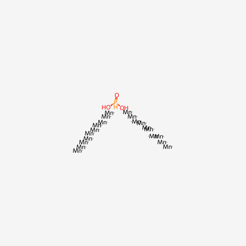 O=[PH](O)O.[Mn].[Mn].[Mn].[Mn].[Mn].[Mn].[Mn].[Mn].[Mn].[Mn].[Mn].[Mn].[Mn].[Mn].[Mn].[Mn].[Mn].[Mn].[Mn].[Mn]